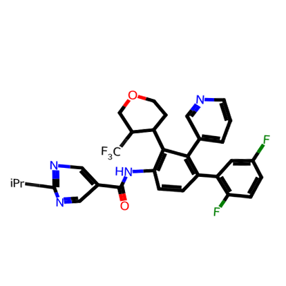 CC(C)c1ncc(C(=O)Nc2ccc(-c3cc(F)ccc3F)c(-c3cccnc3)c2C2CCOCC2C(F)(F)F)cn1